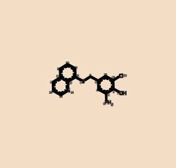 Oc1c(P)cc(CSc2cccc3cccnc23)cc1Cl